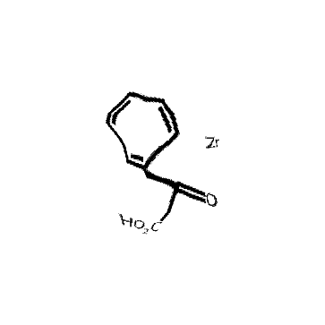 O=C(O)C(=O)c1ccccc1.[Zr]